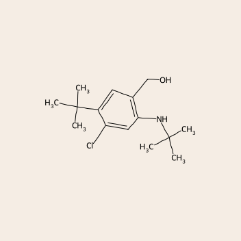 CC(C)(C)Nc1cc(Cl)c(C(C)(C)C)cc1CO